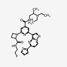 CCN(CC)C(C)CNC(=O)c1cc(-c2cnn3ccc(-c4cccs4)nc23)nc(N2CCC2C(=O)NCCF)c1